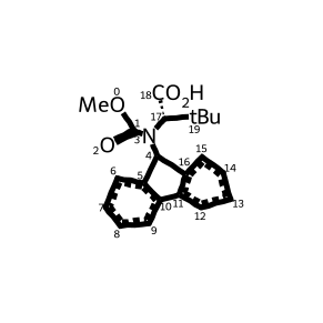 COC(=O)N(C1c2ccccc2-c2ccccc21)[C@H](C(=O)O)C(C)(C)C